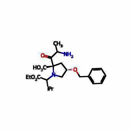 CCOC(=O)C(C(C)C)N1C[C@@H](OCc2ccccc2)C[C@@]1(C(=O)O)C(=O)C(C)N